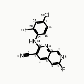 N#Cc1cc2cc(F)ncc2nc1Nc1ccc(Cl)cc1F